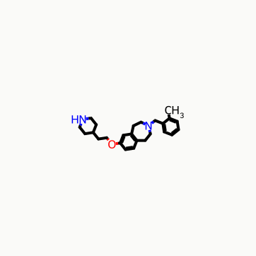 Cc1ccccc1CN1CCc2ccc(OCCC3CCNCC3)cc2CC1